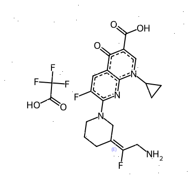 NC/C(F)=C1/CCCN(c2nc3c(cc2F)c(=O)c(C(=O)O)cn3C2CC2)C1.O=C(O)C(F)(F)F